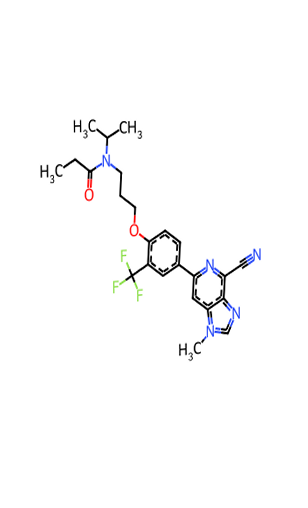 CCC(=O)N(CCCOc1ccc(-c2cc3c(ncn3C)c(C#N)n2)cc1C(F)(F)F)C(C)C